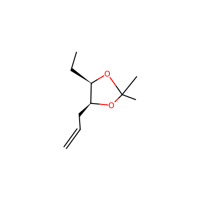 C=CC[C@@H]1OC(C)(C)O[C@@H]1CC